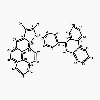 Cc1c(C)n(-c2ccc(-c3cc4ccccc4c4ccccc34)cc2)c2c1cc1ccc3cccc4ccc2c1c34